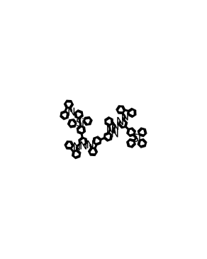 c1ccc([Si](c2ccccc2)(c2ccccc2)c2ccc(-c3cc(-n4c5ccccc5c5ccccc54)nc(-n4c5ccccc5n5c6cc(-c7ccc8c(c7)c7ccccc7n8-c7cc(-c8ccc([Si](c9ccccc9)(c9ccccc9)c9cccc(-n%10c%11ccccc%11c%11ccccc%11%10)c9)cc8)cc(-n8c9ccccc9c9ccccc98)n7)ccc6nc45)c3)cc2)cc1